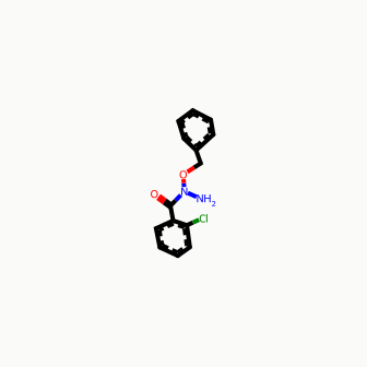 NN(OCc1ccccc1)C(=O)c1ccccc1Cl